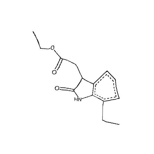 CCOC(=O)CC1C(=O)Nc2c(CC)cccc21